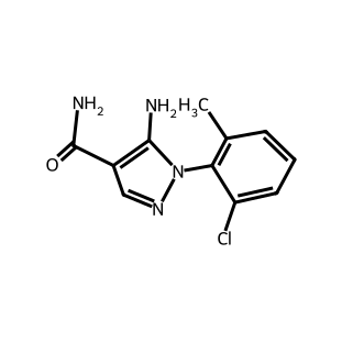 Cc1cccc(Cl)c1-n1ncc(C(N)=O)c1N